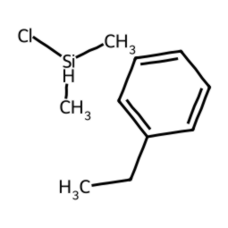 CCc1ccccc1.C[SiH](C)Cl